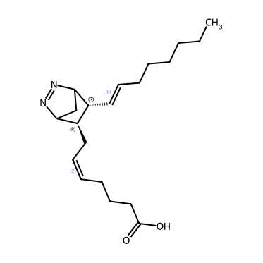 CCCCCC/C=C/[C@H]1C2CC(N=N2)[C@@H]1C/C=C\CCCC(=O)O